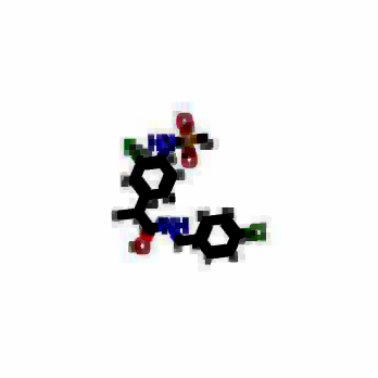 CC(C(=O)NCc1ccc(Cl)cc1)c1ccc(NS(C)(=O)=O)c(F)c1